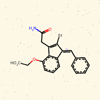 CCC1=C(CC(N)=O)c2c(OC[14C](=O)O)cccc2/C1=C\c1ccccc1